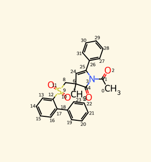 CC(=O)N1C(=O)C(C)(CS(=O)(=O)c2ccccc2-c2ccccc2)C=C1c1ccccc1